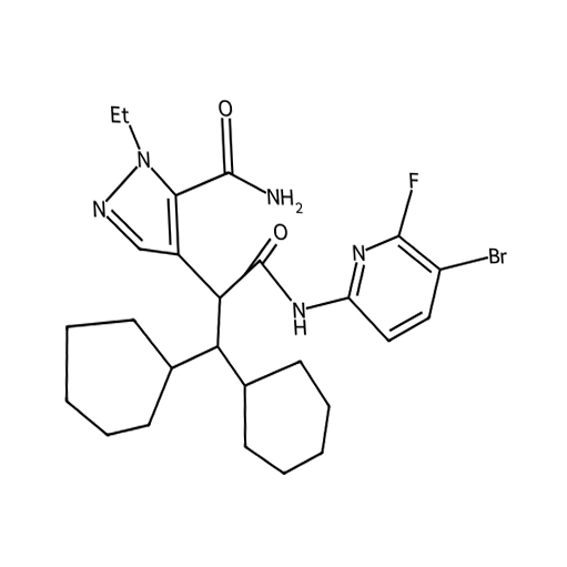 CCn1ncc(C(C(=O)Nc2ccc(Br)c(F)n2)C(C2CCCCC2)C2CCCCC2)c1C(N)=O